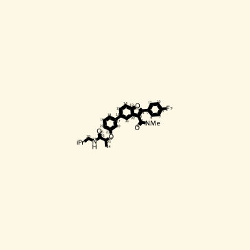 CNC(=O)c1c(-c2ccc(F)cc2)oc2ccc(-c3cccc(OC(C)C(=O)NCC(C)C)c3)cc12